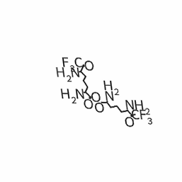 NC(CCCC(N)C(=O)C(F)(F)F)C(=O)OC(=O)C(N)CCCC(N)C(=O)C(F)(F)F